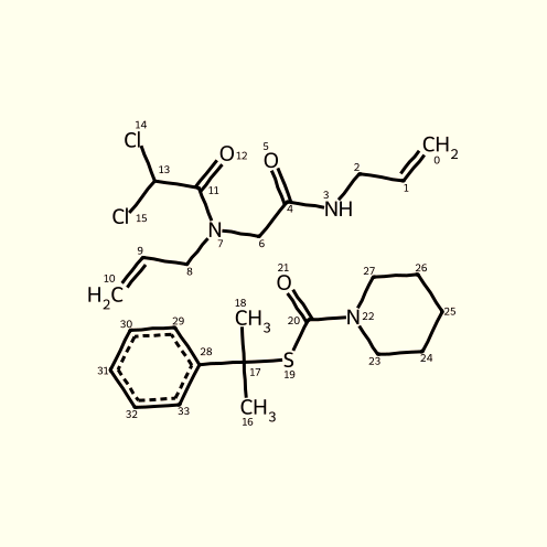 C=CCNC(=O)CN(CC=C)C(=O)C(Cl)Cl.CC(C)(SC(=O)N1CCCCC1)c1ccccc1